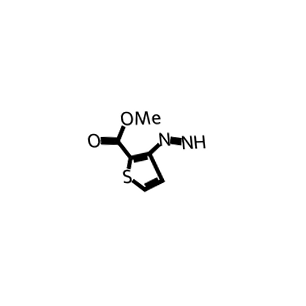 COC(=O)c1sccc1N=N